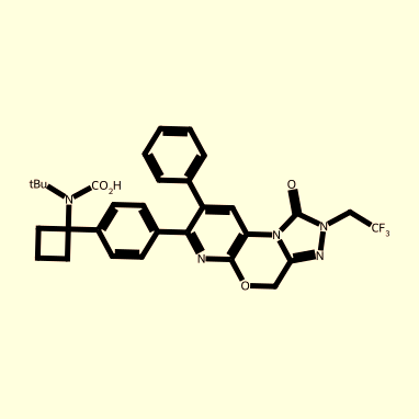 CC(C)(C)N(C(=O)O)C1(c2ccc(-c3nc4c(cc3-c3ccccc3)-n3c(nn(CC(F)(F)F)c3=O)CO4)cc2)CCC1